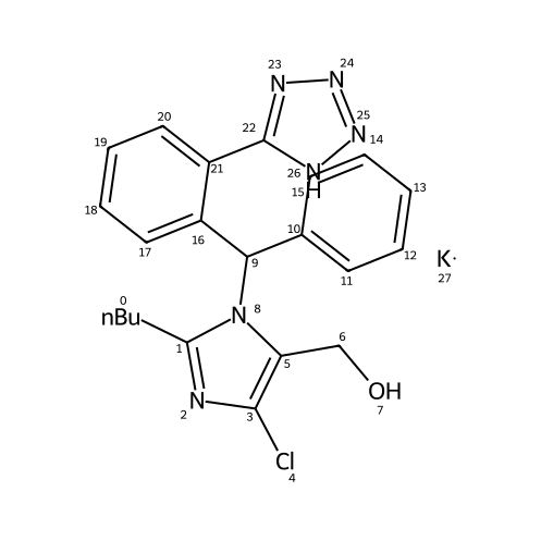 CCCCc1nc(Cl)c(CO)n1C(c1ccccc1)c1ccccc1-c1nnn[nH]1.[K]